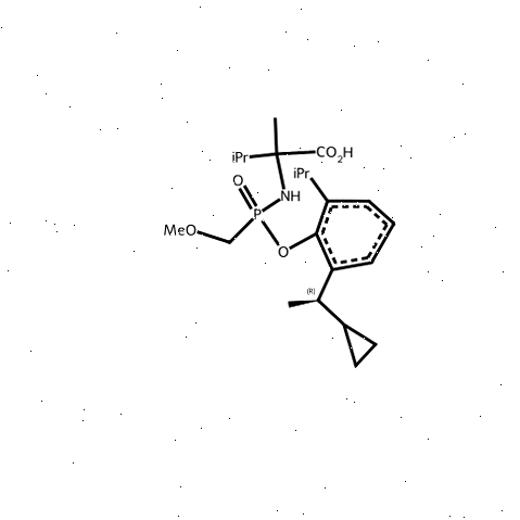 COCP(=O)(NC(C)(C(=O)O)C(C)C)Oc1c(C(C)C)cccc1[C@H](C)C1CC1